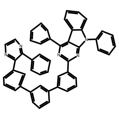 c1ccc(-c2nccnc2-c2cccc(-c3cccc(-c4cccc(-c5nc(-c6ccccc6)c6c7ccccc7n(-c7ccccc7)c6n5)c4)c3)c2)cc1